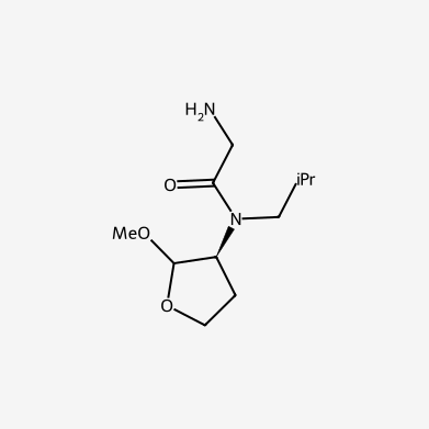 COC1OCC[C@@H]1N(CC(C)C)C(=O)CN